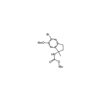 COc1cc2c(cc1Br)CCC2(C)NC(=O)OC(C)(C)C